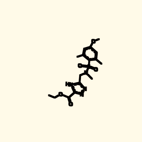 CCOC(=O)c1nnc(CN(C)S(=O)(=O)c2c(C)cc(OC)cc2C)[nH]1